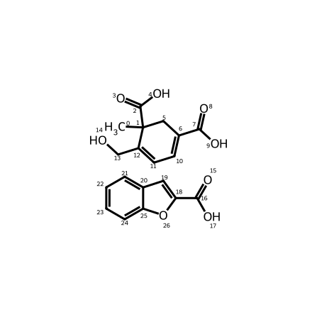 CC1(C(=O)O)CC(C(=O)O)=CC=C1CO.O=C(O)c1cc2ccccc2o1